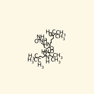 CC(C)[C@H](NC(=O)CCC(C)(C)C)C(=O)N[C@@H](CCCNC(N)=O)C(=O)NCCCC(=O)C(C)(C)C